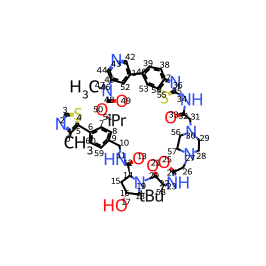 Cc1ncsc1-c1ccc(CNC(=O)[C@@H]2C[C@@H](O)CN2C(=O)[C@@H](NC(=O)CN2CCN(CC(=O)Nc3nc4ccc(-c5cncc(N(C)C(=O)OC(C)C)c5)cc4s3)CC2)C(C)(C)C)cc1